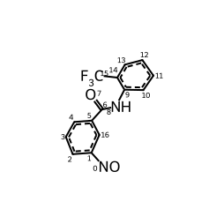 O=Nc1cccc(C(=O)Nc2ccccc2C(F)(F)F)c1